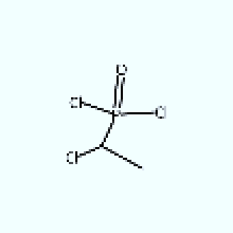 CC(Cl)P(=O)(Cl)Cl